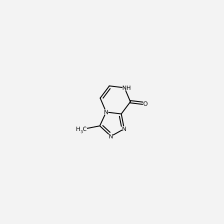 Cc1nnc2c(=O)[nH]ccn12